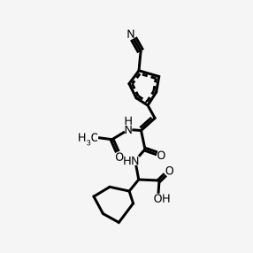 CC(=O)NC(=Cc1ccc(C#N)cc1)C(=O)NC(C(=O)O)C1CCCCC1